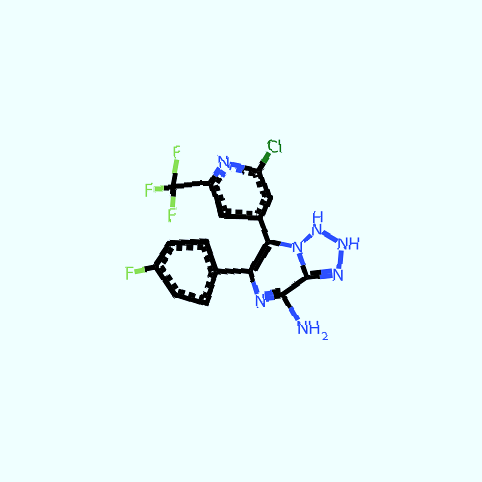 NC1=NC(c2ccc(F)cc2)=C(c2cc(Cl)nc(C(F)(F)F)c2)N2NNN=C12